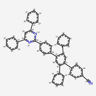 N#Cc1ccc(-c2cc(-c3ccccc3)c(-c3ccc(-c4nc(-c5ccccc5)cc(-c5ccccc5)n4)cc3)cc2-c2ccccc2)cc1